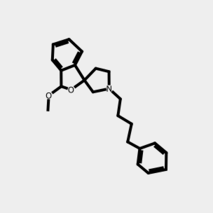 COC1OC2(CCN(CCCCc3ccccc3)C2)c2ccccc21